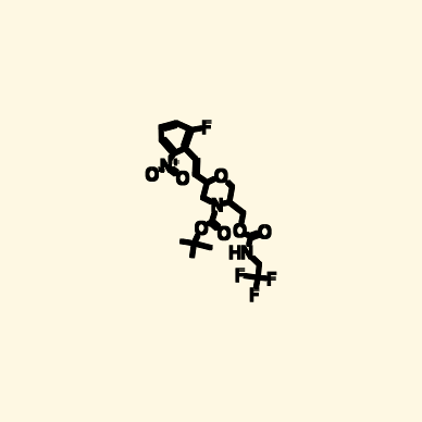 CC(C)(C)OC(=O)N1CC(C=Cc2c(F)cccc2[N+](=O)[O-])OCC1COC(=O)NCC(F)(F)F